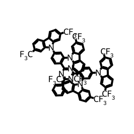 FC(F)(F)c1ccc2c3ccc(C(F)(F)F)cc3n(-c3ccc(-c4nc(-c5ccccc5)nc(-c5ccc(-n6c7cc(C(F)(F)F)ccc7c7ccc(C(F)(F)F)cc76)cc5-n5c6cc(C(F)(F)F)ccc6c6ccc(C(F)(F)F)cc65)n4)c(-n4c5cc(C(F)(F)F)ccc5c5ccc(C(F)(F)F)cc54)c3)c2c1